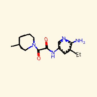 CCc1cc(NC(=O)C(=O)N2CCCC(C)C2)cnc1N